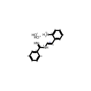 Cl.Cl.N=C(N/C=C/c1ccccc1N)c1ccccc1